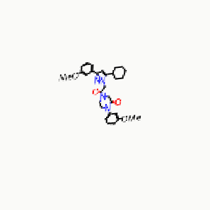 COc1cccc(-c2cc(C3CCCCC3)n(CC(=O)N3CCN(c4cccc(OC)c4)C(=O)C3)n2)c1